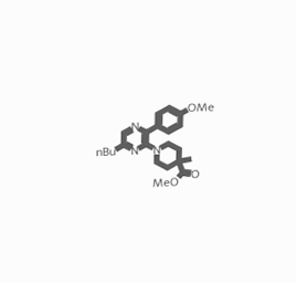 CCCCc1cnc(-c2ccc(OC)cc2)c(N2CCC(C)(C(=O)OC)CC2)n1